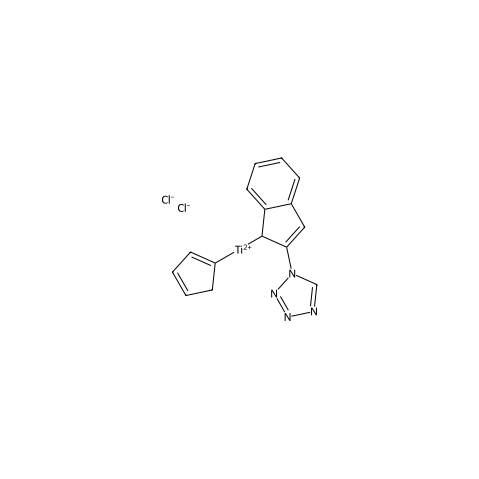 C1=CC[C]([Ti+2][CH]2C(n3cnnn3)=Cc3ccccc32)=C1.[Cl-].[Cl-]